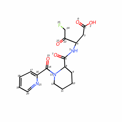 O=C(O)CC(NC(=O)C1CCCCN1C(=O)c1ccccn1)C(=O)CF